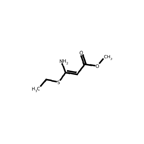 CCSC(N)=CC(=O)OC